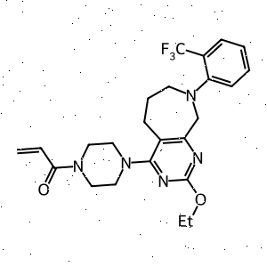 C=CC(=O)N1CCN(c2nc(OCC)nc3c2CCCN(c2ccccc2C(F)(F)F)C3)CC1